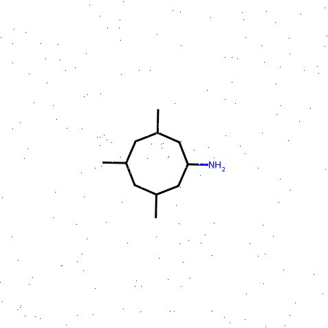 CC1CC(C)CC(N)CC(C)C1